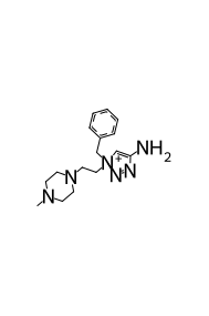 CN1CCN(CC[N+]2(Cc3ccccc3)C=C(N)N=N2)CC1